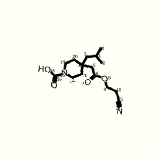 CC(C)CC1(CC(=O)OCCC#N)CCN(C(=O)O)CC1